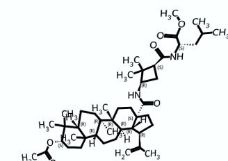 C=C(C)[C@@H]1CC[C@]2(C(=O)N[C@@H]3C[C@H](C(=O)N[C@@H](CC(C)C)C(=O)OC)C3(C)C)CC[C@]3(C)[C@H](CC[C@@H]4C5(C)CC[C@H](OC(C)=O)C(C)(C)[C@@H]5CC[C@]43C)[C@@H]12